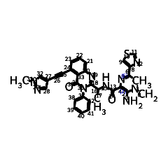 C=N/C(N)=C(\N=C(/C)c1cscn1)C(=O)NC(C)c1nc2cccc(C#Cc3cnn(C)c3)c2c(=O)n1-c1ccccc1